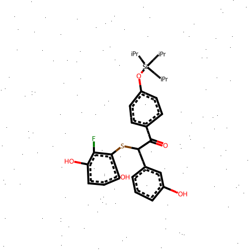 CC(C)[Si](Oc1ccc(C(=O)C(Sc2c(O)ccc(O)c2F)c2cccc(O)c2)cc1)(C(C)C)C(C)C